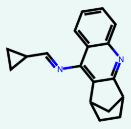 C(=Nc1c2c(nc3ccccc13)C1CCC2C1)C1CC1